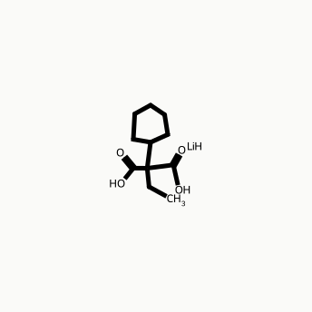 CCC(C(=O)O)(C(=O)O)C1CCCCC1.[LiH]